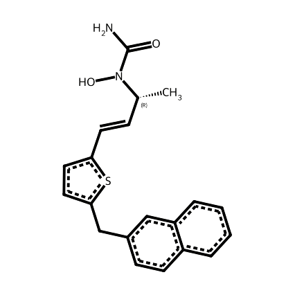 C[C@H](C=Cc1ccc(Cc2ccc3ccccc3c2)s1)N(O)C(N)=O